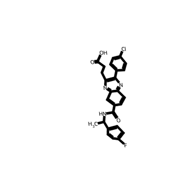 CC(NC(=O)c1ccc2nc(-c3ccc(Cl)cc3)c(CCC(=O)O)nc2c1)c1ccc(F)cc1